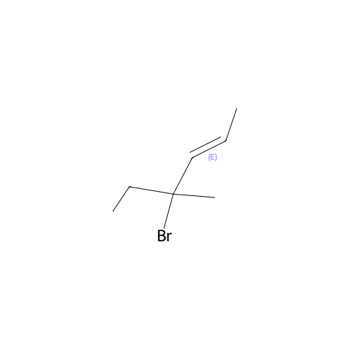 C/C=C/C(C)(Br)CC